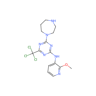 COc1ncccc1Nc1nc(N2CCCNCC2)nc(C(Cl)(Cl)Cl)n1